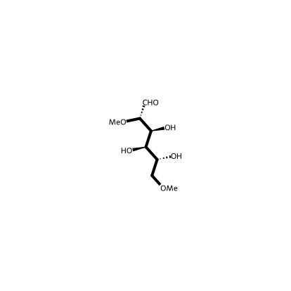 COC[C@@H](O)[C@@H](O)[C@H](O)[C@@H](C=O)OC